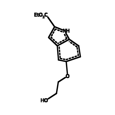 CCOC(=O)c1cc2cc(OCCO)ccc2[nH]1